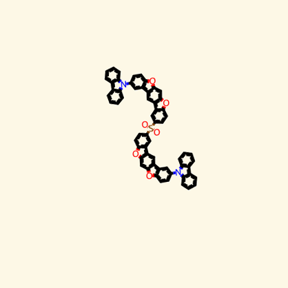 O=S(=O)(c1ccc2oc3cc4oc5ccc(-n6c7ccccc7c7ccccc76)cc5c4cc3c2c1)c1ccc2oc3cc4oc5ccc(-n6c7ccccc7c7ccccc76)cc5c4cc3c2c1